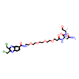 C[C@@H](C=O)NC(=O)[C@H](CC(N)=O)NC(=O)CCOCCOCCOCCOCCNC(=O)c1ccc2nc(CBr)c(CBr)nc2c1